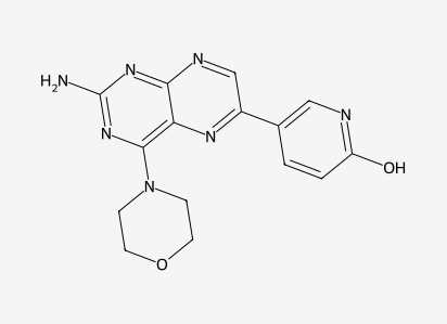 Nc1nc(N2CCOCC2)c2nc(-c3ccc(O)nc3)cnc2n1